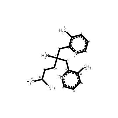 Cc1cccnc1CC(N)(CCC(C)N)Cc1ncccc1C